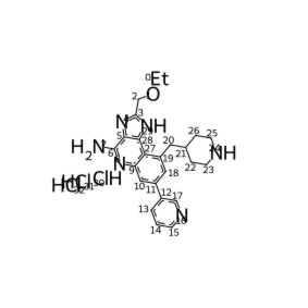 CCOCc1nc2c(N)nc3cc(-c4cccnc4)cc(CC4CCNCC4)c3c2[nH]1.Cl.Cl.Cl